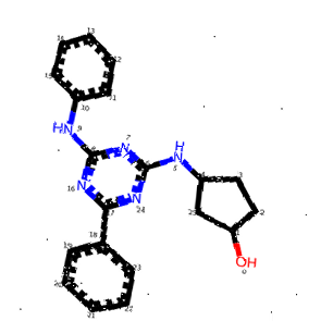 OC1CCC(Nc2nc(Nc3ccccc3)nc(-c3ccccc3)n2)C1